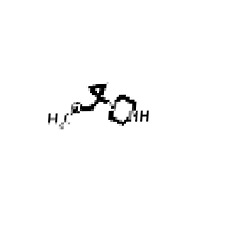 COCC1(N2CCNCC2)CC1